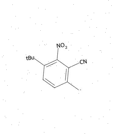 [CH2]c1ccc(C(C)(C)C)c([N+](=O)[O-])c1C#N